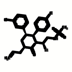 C=CC[C@H]1C[C@H](c2cccc(Cl)c2)[C@@H](c2ccc(Cl)cc2)N([C@H](CC)CNS(C)(=O)=O)C1=O